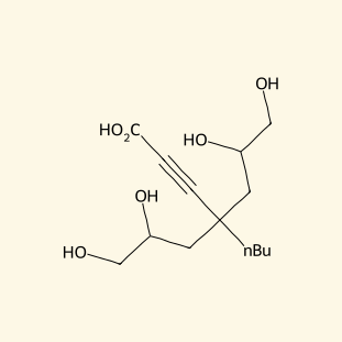 CCCCC(C#CC(=O)O)(CC(O)CO)CC(O)CO